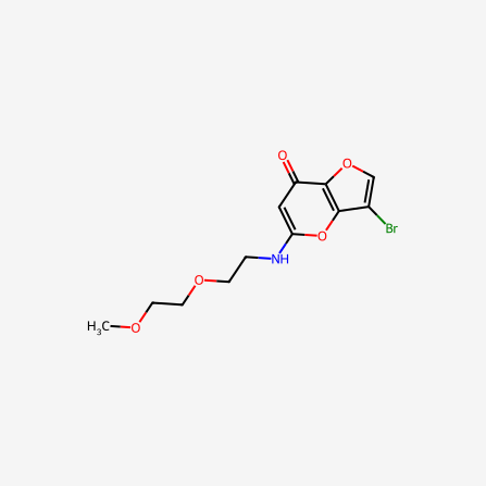 COCCOCCNc1cc(=O)c2occ(Br)c2o1